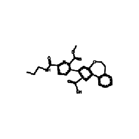 CCCNC(=O)c1ccc(-c2cc3c(cc2C(=O)O)-c2ccccc2CCO3)c(C(=O)OC)n1